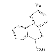 CCOC(=O)C1Oc2ccc(N)cc2-c2ccccc21